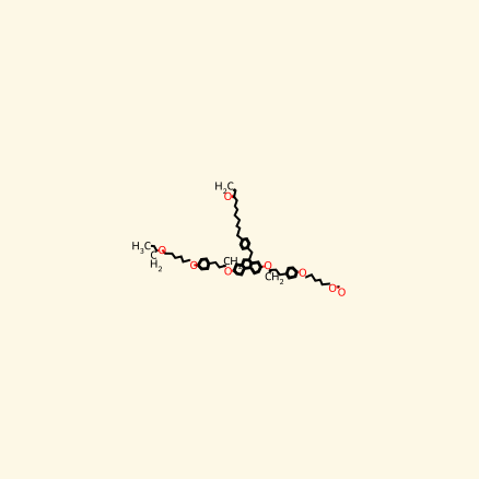 C=CC(=O)CCCCCCCCc1ccc(Cc2cc3cc(OC(=C)CCc4ccc(OCCCCCCOC(=C)CC)cc4)ccc3c3ccc(OC(=C)CCc4ccc(OCCCCCCOC=O)cc4)cc23)cc1